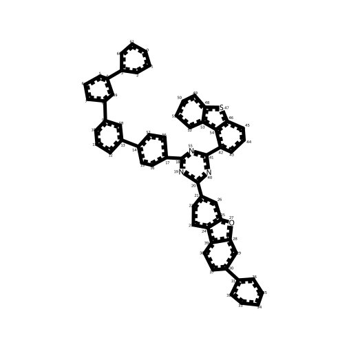 c1ccc(-c2cccc(-c3cccc(-c4ccc(-c5nc(-c6ccc7c(c6)oc6cc(-c8ccccc8)ccc67)nc(-c6cccc7sc8ccccc8c67)n5)cc4)c3)c2)cc1